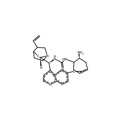 C=CC1CN2CCC1C[C@H]2[C@@H](NC(=S)NC1CC=CC[C@@H]1N)c1ccnc2ccc(OC)cc12